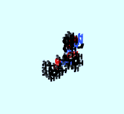 [2H]c1c([2H])c([2H])c(C([2H])([2H])[C@]([2H])(NC(=O)COc2c(C([2H])([2H])[2H])c([2H])c([2H])c([2H])c2C([2H])([2H])[2H])[C@@H](O)C[C@H](Cc2ccccc2)NC(=O)[C@@]([2H])(N2CCCNC2=O)C([2H])(C([2H])([2H])[2H])C([2H])([2H])[2H])c([2H])c1[2H]